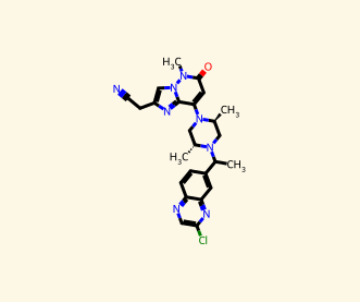 CC(c1ccc2ncc(Cl)nc2c1)N1C[C@H](C)N(c2cc(=O)n(C)n3cc(CC#N)nc23)C[C@H]1C